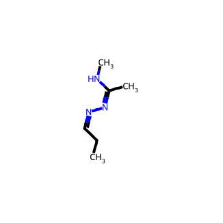 CC/C=N\N=C(\C)NC